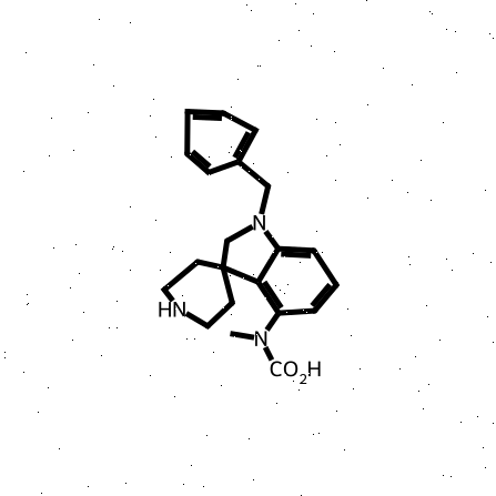 CN(C(=O)O)c1cccc2c1C1(CCNCC1)CN2Cc1ccccc1